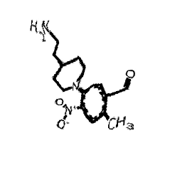 Cc1cc([N+](=O)[O-])c(N2CCC(CCN)CC2)cc1C=O